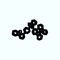 C1=CC2=C(CC1)c1ccc(-n3c(C4=CC=C(c5cccc6c5oc5ccccc56)CC4)nc4ccccc43)cc1C2(c1ccccc1)c1ccccc1